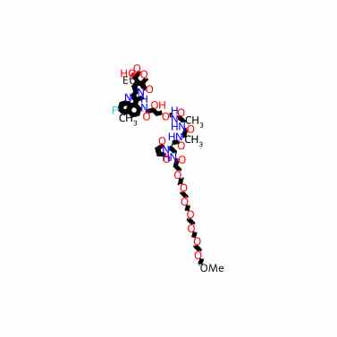 CC[C@@]1(O)C(=O)OCc2c1cc1n(c2=O)Cc2c-1nc1cc(F)c(C)c3c1c2[C@@H](NC(=O)[C@H](O)CCOCNC(=O)[C@H](C)NC(=O)[C@H](C)NC(=O)C[C@H](CNC(=O)CCOCCOCCOCCOCCOCCOCCOCCOC)N1C(=O)C=CC1=O)CC3